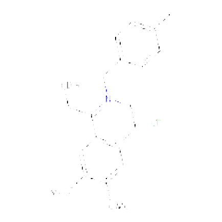 CCCCCCCCCCCC1=[N+](Cc2ccc(C)cc2)CCc2cc(OC)c(OC)cc21.[Cl-]